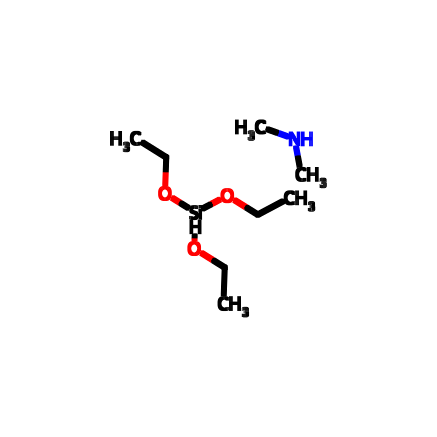 CCO[SiH](OCC)OCC.CNC